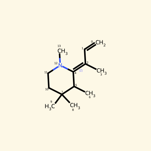 C=C/C(C)=C1/C(C)C(C)(C)CCN1C